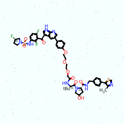 Cc1ncsc1-c1ccc(CNC(=O)[C@@H]2C[C@@H](O)CN2C(=O)[C@@H](NC(=O)COCCOCCOc2ccc(-c3cnc4[nH]cc(C(=O)c5c(F)ccc(NS(=O)(=O)N6CC[C@@H](F)C6)c5F)c4c3)cc2)C(C)(C)C)cc1